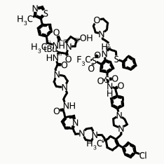 Cc1ncsc1-c1ccc([C@H](C)NC(=O)[C@@H]2C[C@@H](O)CN2C(=O)[C@@H](NC(=O)CN2CCN(CCNC(=O)c3ccc(CN4CCN(C[C@]5(C)CCC(c6ccc(Cl)cc6)=C(CN6CCN(c7ccc(C(=O)NS(=O)(=O)c8ccc(N[C@H](CCN9CCCOCC9)CSc9ccccc9)c(S(=O)(=O)C(F)(F)F)c8)cc7)CC6)C5)CC4)nc3)CC2)C(C)(C)C)cc1